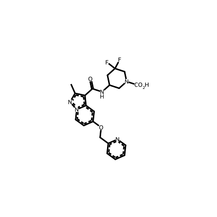 Cc1nn2ccc(OCc3ccccn3)cc2c1C(=O)NC1CN(C(=O)O)CC(F)(F)C1